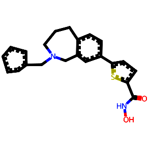 O=C(NO)c1ccc(-c2ccc3c(c2)CN(Cc2ccccc2)CCC3)s1